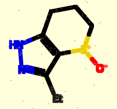 CCc1n[nH]c2c1[S+]([O-])CCC2